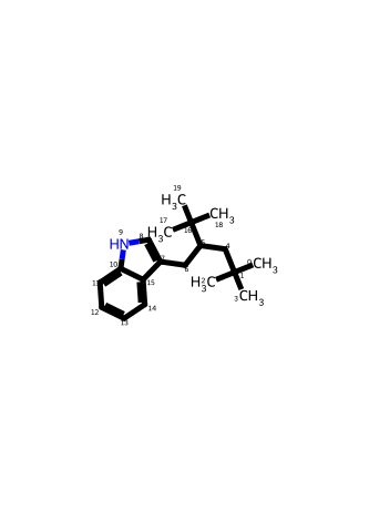 CC(C)(C)CC(Cc1c[nH]c2ccccc12)C(C)(C)C